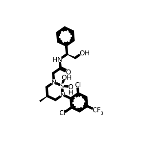 C[C@H]1CN(CC(=O)N[C@H](CO)c2ccccc2)S(O)(O)N(c2c(Cl)cc(C(F)(F)F)cc2Cl)C1